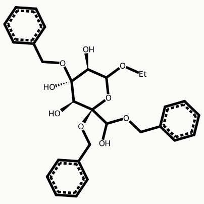 CCOC1O[C@](OCc2ccccc2)(C(O)OCc2ccccc2)[C@@H](O)[C@@](O)(OCc2ccccc2)[C@H]1O